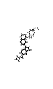 CN1CCC(Nc2ncnc3ccc(-c4c[nH]c5nc(CC6CCC6)ccc45)cc23)CC1